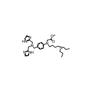 CCCN(CCC)CCCCN(CC(=O)OC)c1ccc(CN(Cc2ncc[nH]2)Cc2ncc[nH]2)cc1